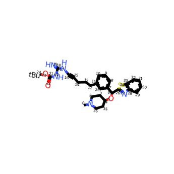 CN1CCC(OC(c2cccc(CCCC#CNC(=N)NC(=O)OC(C)(C)C)c2)c2nc3ccccc3s2)CC1